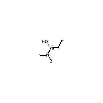 CC[C@@H](O)N(C)C